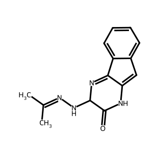 CC(C)=NNC1N=C2C(=Cc3ccccc32)NC1=O